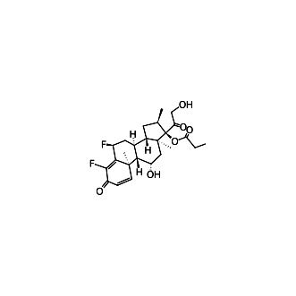 CCC(=O)O[C@]1(C(=O)CO)[C@H](C)C[C@H]2[C@@H]3C[C@H](F)C4=C(F)C(=O)C=C[C@]4(C)[C@H]3[C@@H](O)C[C@@]21C